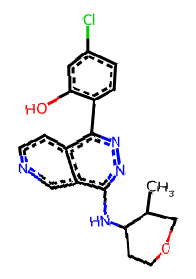 CC1COCCC1Nc1nnc(-c2ccc(Cl)cc2O)c2ccncc12